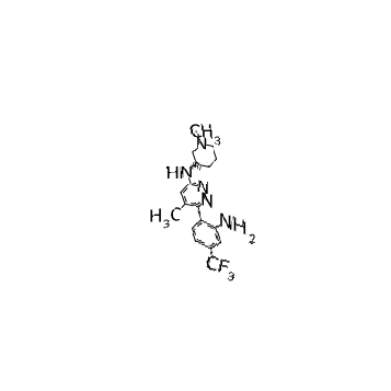 Cc1cc(N[C@@H]2CCCN(C)C2)nnc1-c1ccc(C(F)(F)F)cc1N